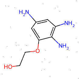 Nc1cc(N)c(N)c(OCCO)c1